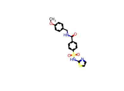 COc1ccc(CNC(=O)c2ccc(S(=O)(=O)Nc3nccs3)cc2)cc1